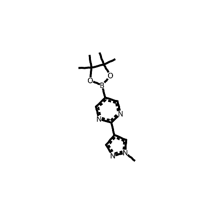 Cn1cc(-c2ncc(B3OC(C)(C)C(C)(C)O3)cn2)cn1